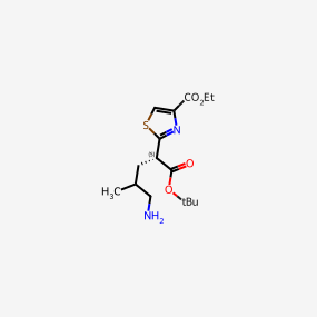 CCOC(=O)c1csc([C@@H](CC(C)CN)C(=O)OC(C)(C)C)n1